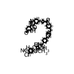 CC1(C)[C@H](NC(=O)c2ccc(N3CC4CC3CN4CC3CCN(C(=O)C4CN(c5ccc6nnn(C7CCC(=O)NC7=O)c(=O)c6c5)C4)CC3)cc2)C(C)(C)[C@H]1Oc1ccc(C#N)c(Cl)c1